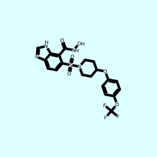 O=C(NO)c1c(S(=O)(=O)N2CCC(Oc3ccc(OC(F)(F)F)cc3)CC2)ccc2nc[nH]c12